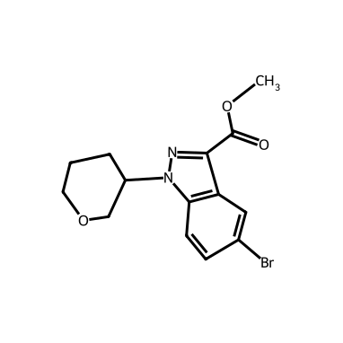 COC(=O)c1nn(C2CCCOC2)c2ccc(Br)cc12